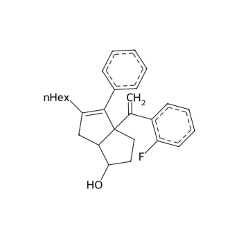 C=C(c1ccccc1F)C12CCC(O)C1CC(CCCCCC)=C2c1ccccc1